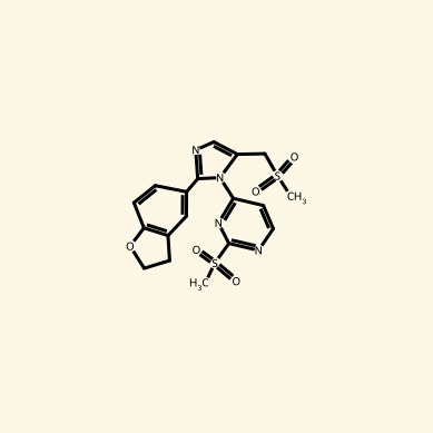 CS(=O)(=O)Cc1cnc(-c2ccc3c(c2)CCO3)n1-c1ccnc(S(C)(=O)=O)n1